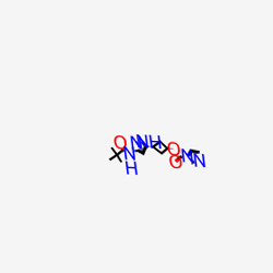 CC(C)(C)C(=O)Nc1cc([C@H]2C[C@@H](OC(=O)n3ccnc3)C2)[nH]n1